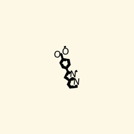 COC(=O)c1ccc(-c2cc3cccnc3n2C)cc1